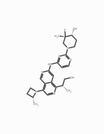 C[C@@H]1CCN1c1cnc([C@@H](C)CO)c2cc(Nc3ccnc(N4CC[C@@H](O)[C@@](C)(F)C4)n3)ncc12